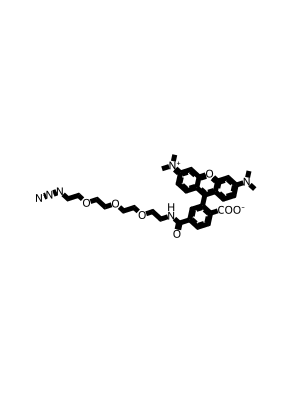 CN(C)c1ccc2c(-c3cc(C(=O)NCCOCCOCCOCCN=[N+]=[N-])ccc3C(=O)[O-])c3ccc(=[N+](C)C)cc-3oc2c1